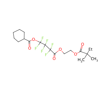 CCC(C)(C)C(=O)OCCOC(=O)C(F)(F)C(F)(F)C(F)(F)OC(=O)C1CCCCC1